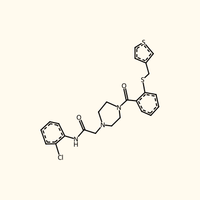 O=C(CN1CCN(C(=O)c2ccccc2SCc2ccsc2)CC1)Nc1ccccc1Cl